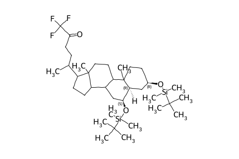 CC(CCC(=O)C(F)(F)F)C1CCC2C3C[C@H](O[Si](C)(C)C(C)(C)C)[C@@H]4C[C@H](O[Si](C)(C)C(C)(C)C)CCC4(C)C3CCC12C